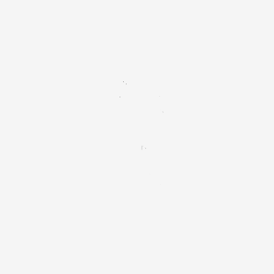 CCC(CCC1c2[nH]c3cc(F)ccc3c2CCN1C(C)=O)(c1ccccc1)N(C)C